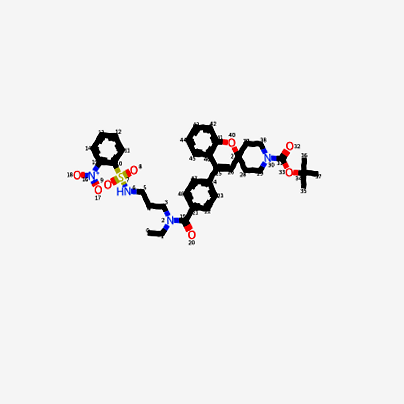 CCN(CCCNS(=O)(=O)c1ccccc1[N+](=O)[O-])C(=O)c1ccc(C2=CC3(CCN(C(=O)OC(C)(C)C)CC3)Oc3ccccc32)cc1